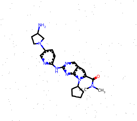 CN(C)C(=O)c1cc2cnc(Nc3ccc(N4CCC(N)C4)cn3)nc2n1C1CCCC1